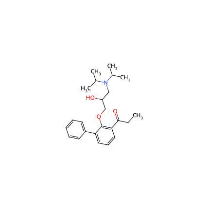 CCC(=O)c1cccc(-c2ccccc2)c1OCC(O)CN(C(C)C)C(C)C